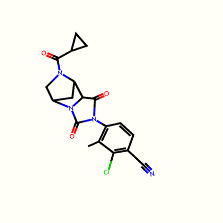 Cc1c(N2C(=O)C3C4CC(CN4C(=O)C4CC4)N3C2=O)ccc(C#N)c1Cl